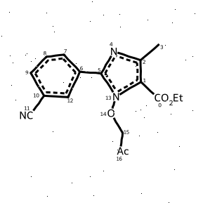 CCOC(=O)c1c(C)nc(-c2cccc(C#N)c2)n1OCC(C)=O